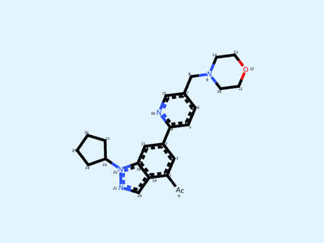 CC(=O)c1cc(-c2ccc(CN3CCOCC3)cn2)cc2c1cnn2C1CCCC1